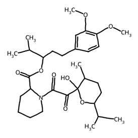 COc1ccc(CCC(OC(=O)C2CCCCN2C(=O)C(=O)C2(O)OC(C(C)C)CCC2C)C(C)C)cc1OC